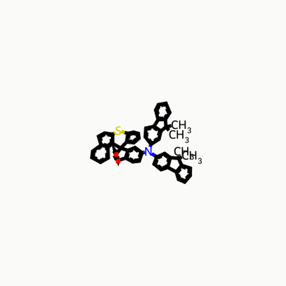 CC1(C)c2ccccc2-c2ccc(N(c3ccc4c(c3)C(C)(C)c3ccccc3-4)c3ccc4c(c3)C3(c5ccccc5Sc5ccc6ccccc6c53)c3ccccc3-4)cc21